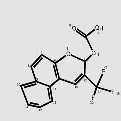 O=C(O)OC1Oc2ccc3ccccc3c2C=C1C(F)(F)F